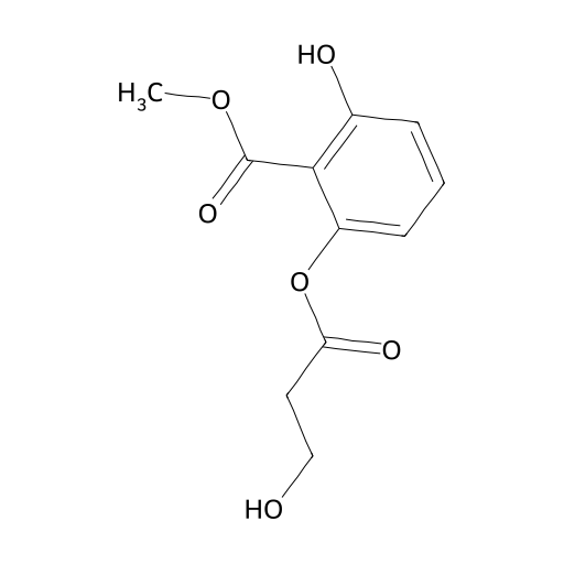 COC(=O)c1c(O)cccc1OC(=O)CCO